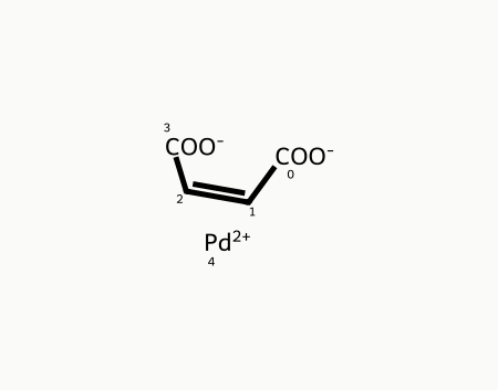 O=C([O-])/C=C\C(=O)[O-].[Pd+2]